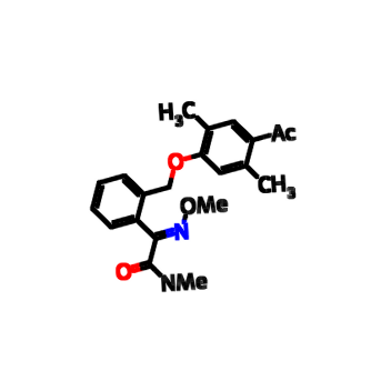 CNC(=O)/C(=N/OC)c1ccccc1COc1cc(C)c(C(C)=O)cc1C